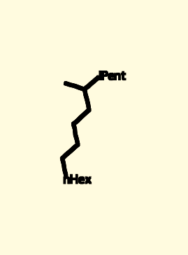 [CH2]CCC(C)C(C)CCCCCCCCCC